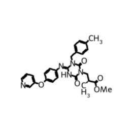 COC(=O)[C@@H](C)Cn1c(=O)[nH]/c(=N\c2ccc(Oc3cccnc3)cc2)n(Cc2ccc(C)cc2)c1=O